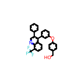 OCc1ccc(Oc2cccc(-c3c(-c4ccccc4)cnc4c(C(F)(F)F)cccc34)c2)cc1